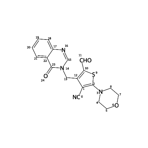 N#Cc1c(N2CCOCC2)sc(C=O)c1Cn1cnc2ccccc2c1=O